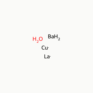 O.[BaH2].[Cu].[La]